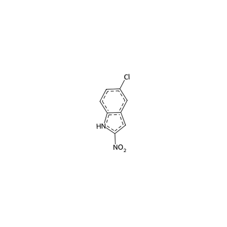 O=[N+]([O-])c1cc2cc(Cl)ccc2[nH]1